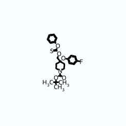 CC(C)(C)OC(=O)N1CCC(COC(=S)Oc2ccccc2)(Oc2ccc(F)cc2)CC1